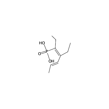 CC=CC(CC)=C(CC)P(=O)(O)O